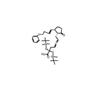 CC(C)(C)[Si](C)(C)OC(CC=C=CC[C@H]1C(=O)CC[C@@H]1/C=C/CCOc1ccccc1)(O[Si](C)(C)C(C)(C)C)C(=O)O